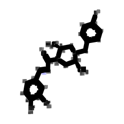 C[C@@H]1CN(Cc2ccc(F)cc2)[C@@H](C)CN1C(=O)/C=C/c1ccc(Br)c(Br)c1